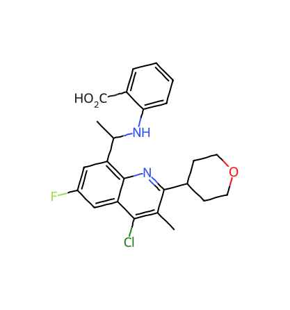 Cc1c(C2CCOCC2)nc2c(C(C)Nc3ccccc3C(=O)O)cc(F)cc2c1Cl